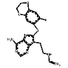 C=CNCCn1c(Sc2cc3c(cc2I)OCCO3)nc2c(N)ncnc21